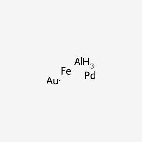 [AlH3].[Au].[Fe].[Pd]